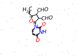 C=C[C@@H]1O[C@H](n2ccc(=O)[nH]c2=O)C(C=O)C1C=O